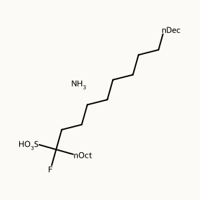 CCCCCCCCCCCCCCCCCCC(F)(CCCCCCCC)S(=O)(=O)O.N